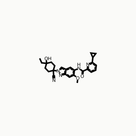 CCC1(O)CCC(C#N)(n2cc3cc(NC(=O)c4cccc(C5CC5)n4)c(OC)cc3n2)CC1